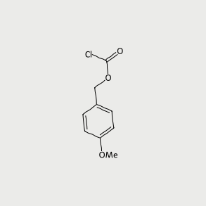 COc1ccc(COC(=O)Cl)cc1